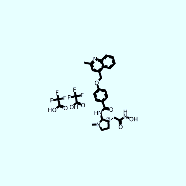 Cc1cc(COc2ccc(C(=O)NC3[C@H](CC(=O)NO)CCN3C)cc2)c2ccccc2n1.O=C(O)C(F)(F)F.O=C(O)C(F)(F)F